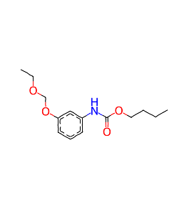 CCCCOC(=O)Nc1cccc(OCOCC)c1